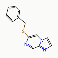 c1ccc(CSc2cn3ccnc3cn2)cc1